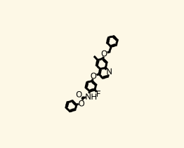 Cc1cc2c(Oc3ccc(NC(=O)Oc4ccccc4)c(F)c3)ccnc2cc1OCc1ccccc1